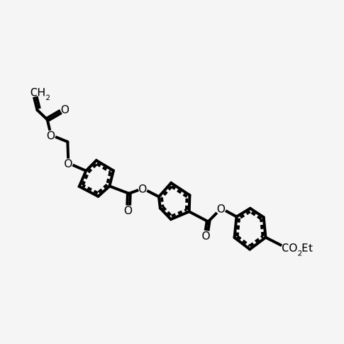 C=CC(=O)OCOc1ccc(C(=O)Oc2ccc(C(=O)Oc3ccc(C(=O)OCC)cc3)cc2)cc1